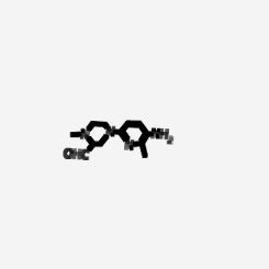 Cc1nc(N2CCN(C)C(C=O)C2)ccc1N